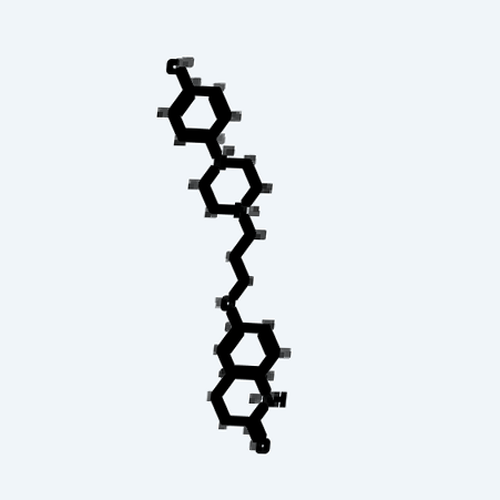 O=C1CCc2cc(OCCCN3CCN(c4ccc(Cl)cc4)CC3)ccc2N1